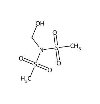 CS(=O)(=O)N(CO)S(C)(=O)=O